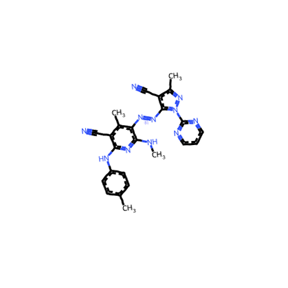 CNc1nc(Nc2ccc(C)cc2)c(C#N)c(C)c1/N=N/c1c(C#N)c(C)nn1-c1ncccn1